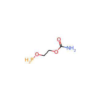 NC(=O)OCCOP